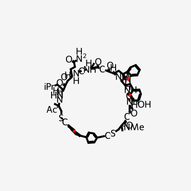 CN[C@]1(C)CSCc2ccc(cc2)-c2ccc(cc2)CSC[C@@](C)(C(C)=O)NN[C@@H](CC(C)C)C(=O)C(=O)[C@H](CCC(N)=O)NCN[C@@H](C)C(=O)CC(=O)[C@H](Cc2c[nH]c3ccccc23)NC(=O)[C@H](Cc2ccc(O)cc2)NCN[C@@H](C)C(=O)CC1=O